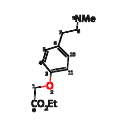 CCOC(=O)COc1ccc(CCNC)cc1